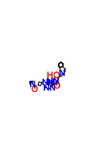 C=N/C(=C\C(=N/C)C(=O)NC[C@H](O)CN1CCc2ccccc2C1)N[C@H]1C[C@@H](C(=O)N2CCC2)C1